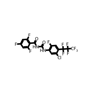 O=C(NC(=O)c1c(F)cc(F)cc1F)Nc1cc(Cl)c(C(F)(F)C(F)(F)C(F)(F)F)cc1F